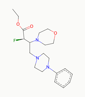 CCOC(=O)[C@H](F)C(CN1CCN(c2ccccc2)CC1)N1CCOCC1